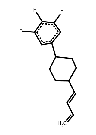 C=CC=CC1CCC(c2cc(F)c(F)c(F)c2)CC1